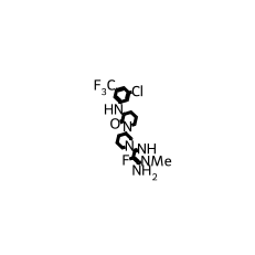 CN/C(N)=C(/F)C(=N)N1CCC[C@@H](N2CCCC(Nc3cc(Cl)cc(C(F)(F)F)c3)C2=O)C1